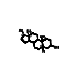 CC(=O)[C@H]1CCC2C3CC[C@H]4CC(O)CCC4(C)C3CC[C@@]21C